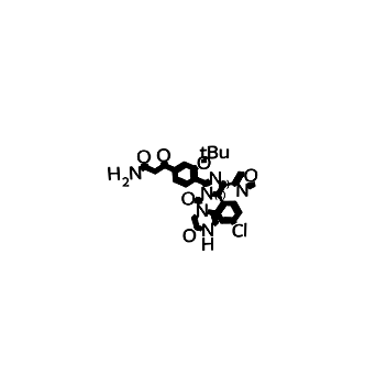 CC(C)(C)Oc1cc(C(=O)CC(N)=O)ccc1C1=N[C@@H](c2cocn2)[C@@H](c2ccc(Cl)cc2)N1C(=O)N1CCNC(=O)C1